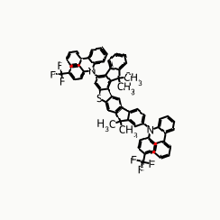 CC1(C)c2cc(N(c3ccc(C(F)(F)F)cc3)c3ccccc3-c3ccccc3)ccc2-c2cc3c(cc21)sc1cc(N(c2ccc(C(F)(F)F)cc2)c2ccccc2-c2ccccc2)c2c(c13)C(C)(C)c1ccccc1-2